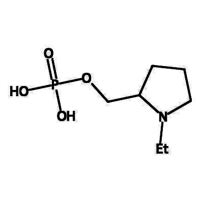 CCN1CCCC1COP(=O)(O)O